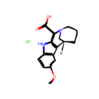 COc1ccc2[nH]c3c(c2c1)[C@H]1CCC[N@@](C1)C3C(=O)O.Cl